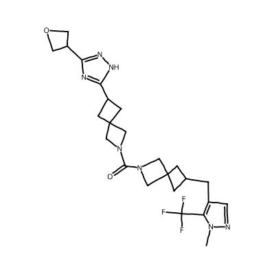 Cn1ncc(CC2CC3(C2)CN(C(=O)N2CC4(CC(c5nc(C6COC6)n[nH]5)C4)C2)C3)c1C(F)(F)F